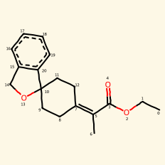 CCOC(=O)C(C)=C1CCC2(CC1)OCc1ccccc12